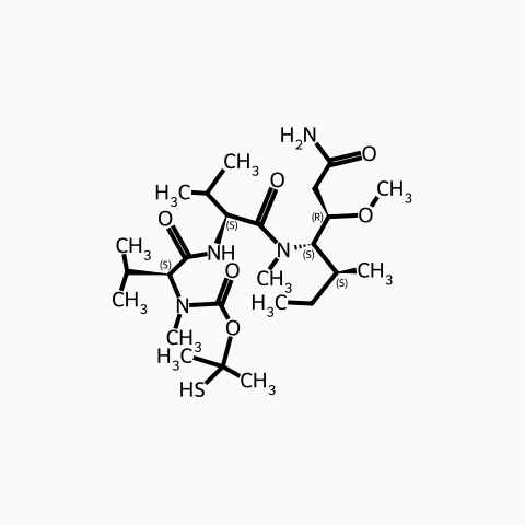 CC[C@H](C)[C@@H]([C@@H](CC(N)=O)OC)N(C)C(=O)[C@@H](NC(=O)[C@H](C(C)C)N(C)C(=O)OC(C)(C)S)C(C)C